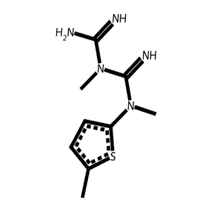 Cc1ccc(N(C)C(=N)N(C)C(=N)N)s1